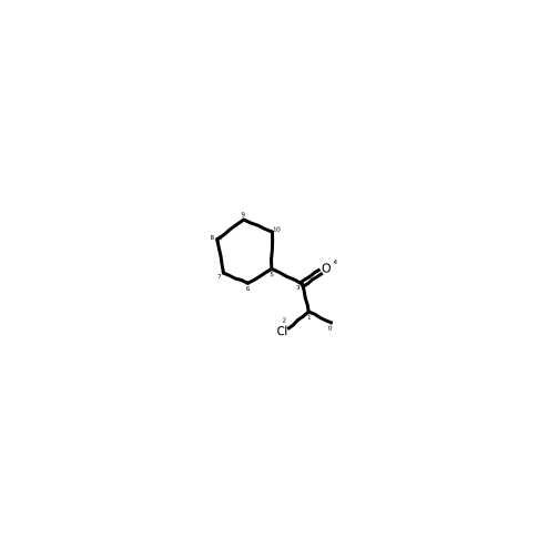 CC(Cl)C(=O)C1CC[CH]CC1